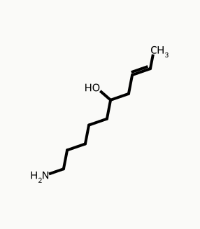 CC=CCC(O)CCCCCN